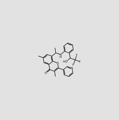 Cc1cc(C(C)Nc2ccccc2C(O)C(F)(F)F)c2oc(-c3cccnc3)c(C)c(=O)c2c1